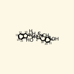 CN(C)[C@H](CNC(O)NC1Cc2ccccc2C1)Cc1ccc(O)cc1